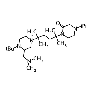 CC(C)N1CCN(C(C)(C)CCC(C)(C)N2CCN(C(C)(C)C)C(CN(C)C)C2)C(=O)C1